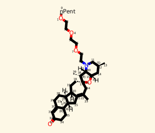 CCCCCOCCOCCOCCN1C[C@@H](C)C[C@H]2O[C@]3(CC[C@@H]4C(=C(C)C3)C[C@H]3[C@H]4CCC4=CC(=O)CC[C@@]43C)[C@H](C)[C@@H]21